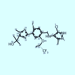 Cc1n[nH]c(Cl)c1NCc1cc(F)c(-c2nc(C(C)(C)O)n(C)n2)cc1O[C@@H](C)C(F)(F)F